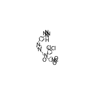 CS(=O)(=O)N1CCC(C(=O)N(CCCN2CCN(Cc3ccc(-c4nnn[nH]4)cc3)CC2)c2ccc(Cl)c(Cl)c2)CC1